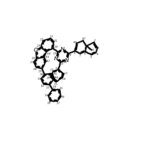 CC12C=CC=CC1=CC(c1nc(-c3ccccc3)nc(-c3cccc4oc5ccc(-c6ccc(-c7ccccc7)cc6)cc5c34)n1)=CC2